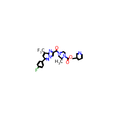 C[C@H]1CN(C(=O)c2cn3nc(-c4ccc(F)cc4)cc(C(F)(F)F)c3n2)CCN1C(=O)OCc1cccnc1